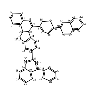 C1=C(C2=Cc3ccccc3C3Oc4cc(-c5nc(-c6ccccc6)c6ccccc6n5)ccc4C23)CCC(c2ccc3ccccc3c2)=C1